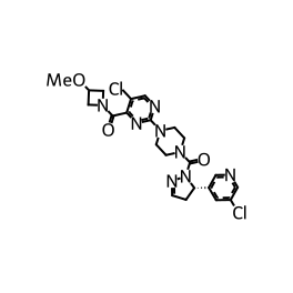 COC1CN(C(=O)c2nc(N3CCN(C(=O)N4N=CC[C@H]4c4cncc(Cl)c4)CC3)ncc2Cl)C1